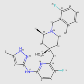 Cc1cc(Nc2ccc(F)c(C[C@@]3(C(=O)O)CCN(Cc4c(C)cccc4F)[C@H](C)C3)n2)n[nH]1